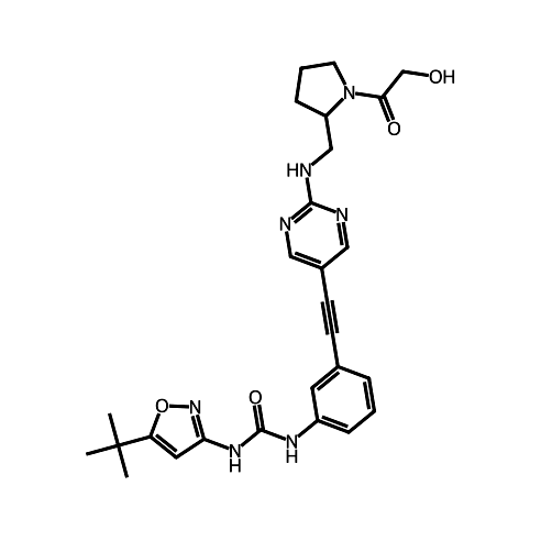 CC(C)(C)c1cc(NC(=O)Nc2cccc(C#Cc3cnc(NCC4CCCN4C(=O)CO)nc3)c2)no1